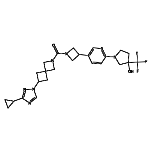 O=C(N1CC(c2ccc(N3CCC(O)(C(F)(F)F)C3)nc2)C1)N1CC2(CC(n3cnc(C4CC4)n3)C2)C1